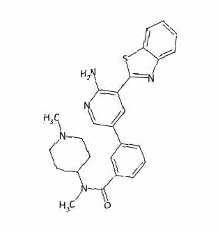 CN1CCC(N(C)C(=O)c2cccc(-c3cnc(N)c(-c4nc5ccccc5s4)c3)c2)CC1